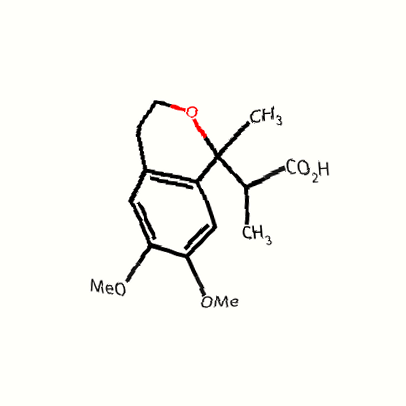 COc1cc2c(cc1OC)C(C)(C(C)C(=O)O)OCC2